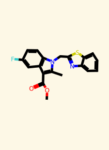 COC(=O)c1c(C)n(Cc2nc3ccccc3s2)c2ccc(F)cc12